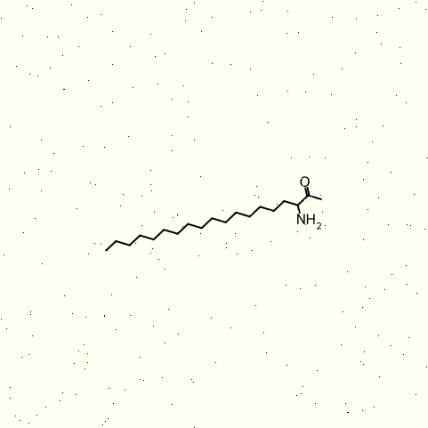 CCCCCCCCCCCCCCCCC(N)C(C)=O